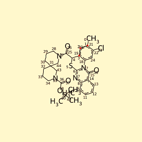 CCCCC(Sc1nc2c(C)cccc2c(=O)n1-c1cccc(Cl)c1)C(=O)N1CCCC2(CCCN(C(=O)OC(C)(C)C)C2)C1